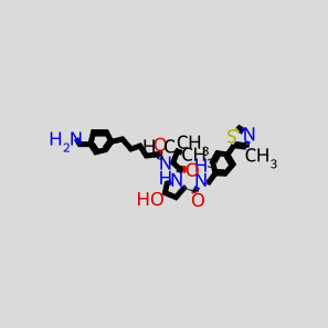 Cc1ncsc1-c1ccc(CNC(=O)[C@@H]2C[C@@H](O)CN2C(=O)[C@@H](NC(=O)CCCCc2ccc(CN)cc2)C(C)(C)C)cc1